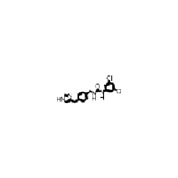 O=C(NCc1ccc(Cc2c[nH]cn2)cc1)Nc1cc(Cl)cc(Cl)c1